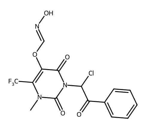 Cn1c(C(F)(F)F)c(OC=NO)c(=O)n(C(Cl)C(=O)c2ccccc2)c1=O